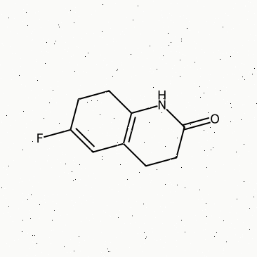 O=C1CCC2=C(CCC(F)=C2)N1